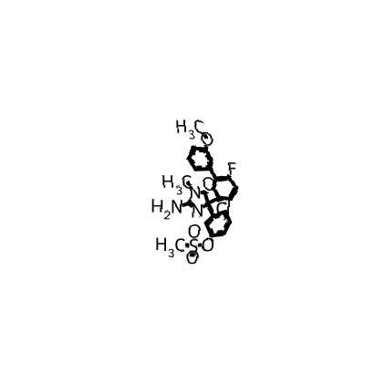 COc1cccc(C2=C(F)C=CC(Cl)(C3(c4cccc(OS(C)(=O)=O)c4)N=C(N)N(C)C3=O)C2)c1